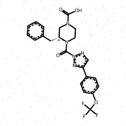 O=C(O)N1CCN(C(=O)n2ncc(-c3ccc(OC(F)(F)F)cc3)n2)[C@H](Cc2ccccc2)C1